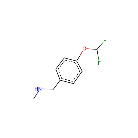 [CH2]NCc1ccc(OC(F)F)cc1